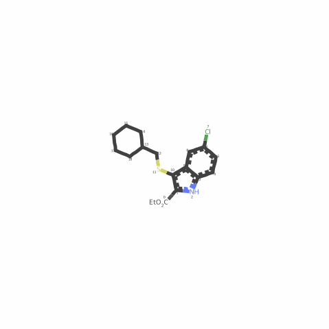 CCOC(=O)c1[nH]c2ccc(Cl)cc2c1SCC1CCCCC1